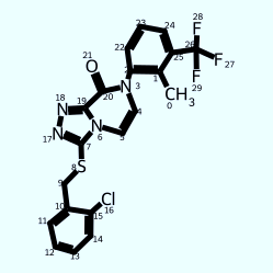 Cc1c(-n2ccn3c(SCc4ccccc4Cl)nnc3c2=O)cccc1C(F)(F)F